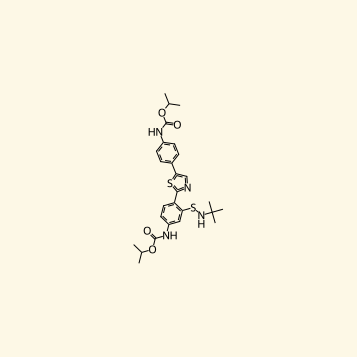 CC(C)OC(=O)Nc1ccc(-c2cnc(-c3ccc(NC(=O)OC(C)C)cc3SNC(C)(C)C)s2)cc1